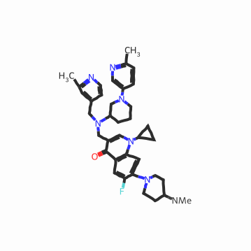 CNC1CCN(c2cc3c(cc2F)c(=O)c(CN(Cc2ccnc(C)c2)C2CCCN(c4ccc(C)nc4)C2)cn3C2CC2)CC1